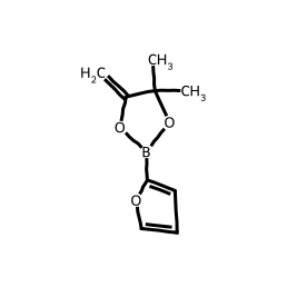 C=C1OB(c2ccco2)OC1(C)C